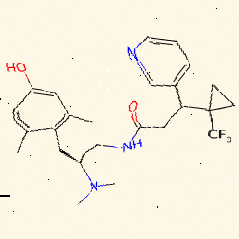 Cc1cc(O)cc(C)c1C[C@@H](CNC(=O)CC(c1cccnc1)C1(C(F)(F)F)CC1)N(C)C